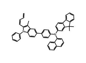 C=C/C=C\c1c(C)c2cc(-c3ccc(N(c4ccc5c(c4)C(C)(C)c4ccccc4-5)c4cccc5ccccc45)cc3)ccc2n1-c1ccccc1